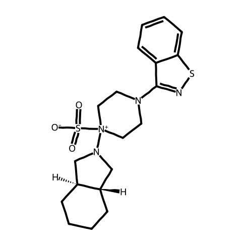 O=S(=O)([O-])[N+]1(N2C[C@@H]3CCCC[C@H]3C2)CCN(c2nsc3ccccc23)CC1